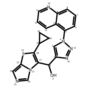 OC(c1cn(-c2cccc3ncccc23)nn1)c1c(C2CC2)sc2cncn12